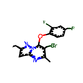 Cc1cc2nc(C)c(Br)c(Oc3ccc(F)cc3F)n2n1